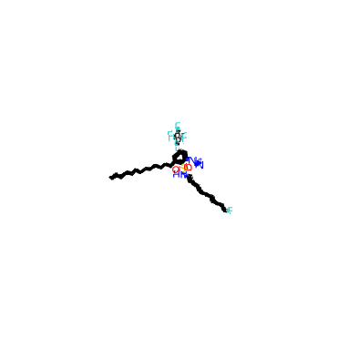 CCCCCCCCCCCCCc1cccc([N+]#N)c1S(=O)(=O)NCCCCCCCCF.F[B-](F)(F)F